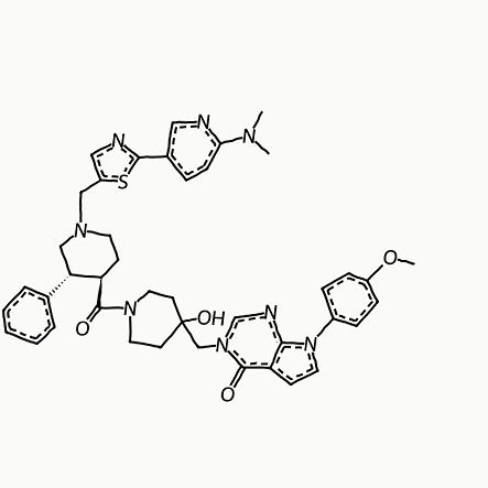 COc1ccc(-n2ccc3c(=O)n(CC4(O)CCN(C(=O)[C@@H]5CCN(Cc6cnc(-c7ccc(N(C)C)nc7)s6)C[C@H]5c5ccccc5)CC4)cnc32)cc1